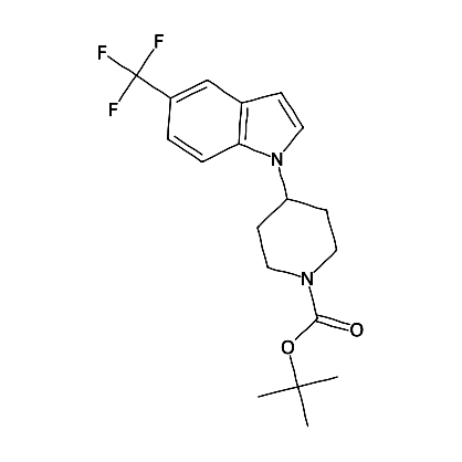 CC(C)(C)OC(=O)N1CCC(n2ccc3cc(C(F)(F)F)ccc32)CC1